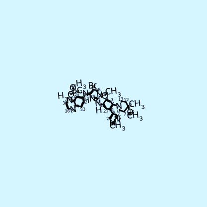 COc1cc(N2CCC(C)(OC)CC2)c(-c2cnn(C)c2)cc1Nc1ncc(Br)c(Nc2ccc3nccnc3c2P(C)(C)=O)n1